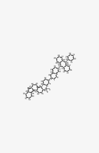 CC1(C)c2cc(-c3ccc4cc(-c5c6ccccc6c(-c6ccccc6)c6ccccc56)ccc4c3)ccc2-c2c1ccc1c2ccc2sc3ccccc3c21